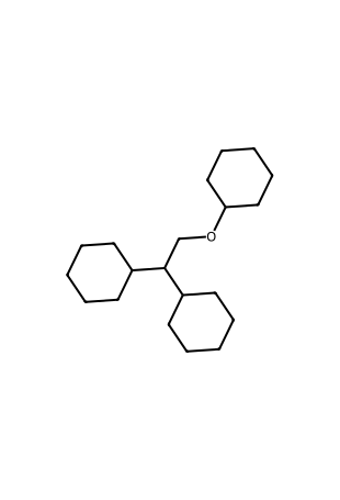 C1CCC(OCC(C2CCCCC2)C2CCCCC2)CC1